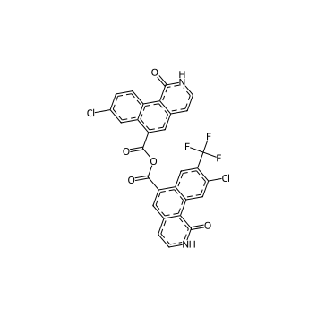 O=C(OC(=O)c1cc2cc[nH]c(=O)c2c2cc(Cl)c(C(F)(F)F)cc12)c1cc2cc[nH]c(=O)c2c2ccc(Cl)cc12